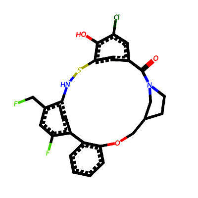 O=C1c2cc(Cl)c(O)c(c2)SNc2cc(c(F)cc2CF)-c2ccccc2OCC2CCN1C2